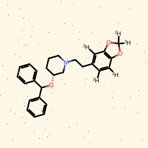 [2H]c1c([2H])c2c(c([2H])c1CCN1CCC[C@@H](OC(c3ccccc3)c3ccccc3)C1)OC([2H])([2H])O2